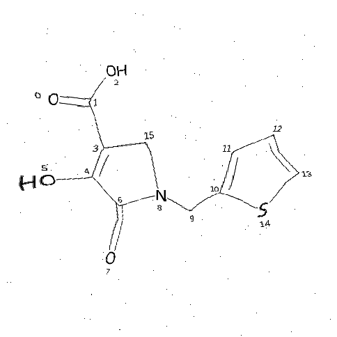 O=C(O)C1=C(O)C(=O)N(Cc2cccs2)C1